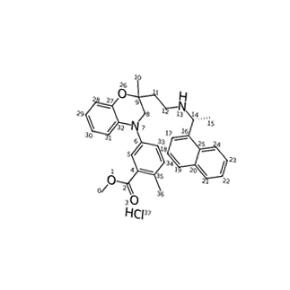 COC(=O)c1cc(N2CC(C)(CCN[C@H](C)c3cccc4ccccc34)Oc3ccccc32)ccc1C.Cl